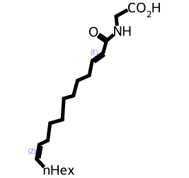 CCCCCC/C=C\CCCCCCC/C=C/C(=O)NCC(=O)O